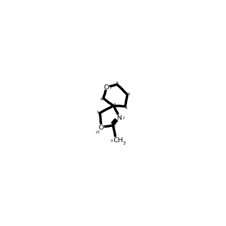 CC1=NC2(CCCOC2)CO1